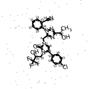 C[C@H](O)c1nc(Cn2cc(-c3ccc(Cl)cc3)n(C[C@H](O)C(F)(F)F)c2=O)n(-c2ccccc2C#N)n1